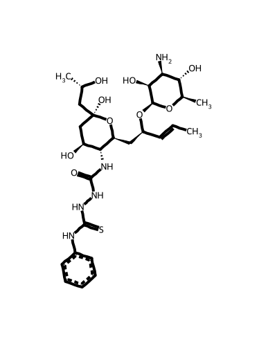 C/C=C/[C@@H](C[C@@H]1O[C@](O)(C[C@H](C)O)C[C@H](O)[C@H]1NC(=O)NNC(=S)Nc1ccccc1)O[C@@H]1O[C@H](C)[C@@H](O)[C@H](N)[C@@H]1O